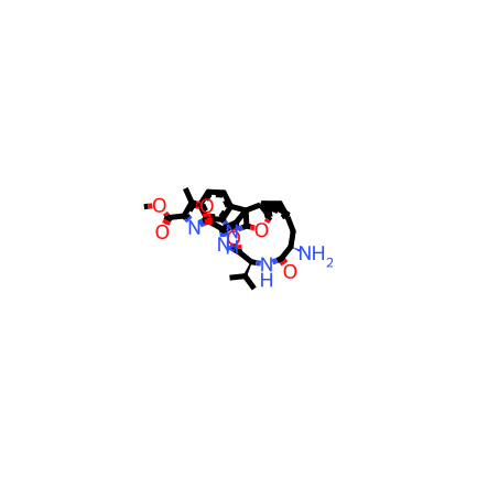 COC(=O)c1nc(-c2nc3oc2C24c5ccccc5NC2Oc2ccc(cc24)C[C@H](N)C(=O)N[C@H]3C(C)C)oc1C